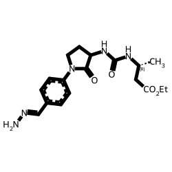 CCOC(=O)C[C@@H](C)NC(=O)NC1CCN(c2ccc(C=NN)cc2)C1=O